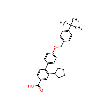 CC(C)(C)c1ccc(COc2ccc(-c3ccc(C(=O)O)cc3C3CCCC3)cc2)cc1